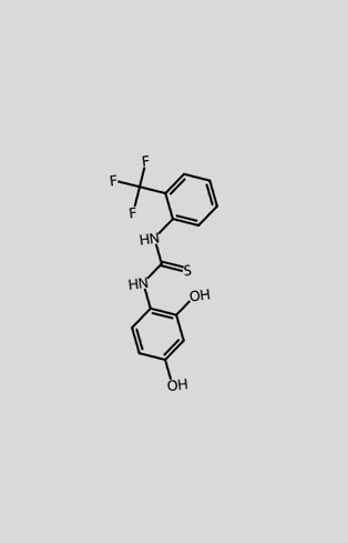 Oc1ccc(NC(=S)Nc2ccccc2C(F)(F)F)c(O)c1